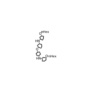 CCCCCCOc1cccc(Nc2ccc(Oc3cccc(Nc4cccc(OCCCCCC)c4)c3)cc2)c1